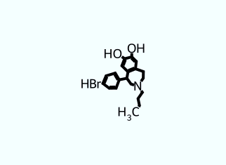 Br.CCCCN1CCc2cc(O)c(O)cc2C(c2ccccc2)C1